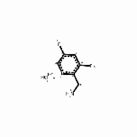 Cl.Cl.NCc1ncc(F)cc1F